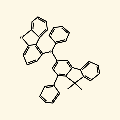 CC1(C)c2ccccc2-c2cc(N(c3ccccc3)c3cccc4oc5ccccc5c34)cc(-c3ccccc3)c21